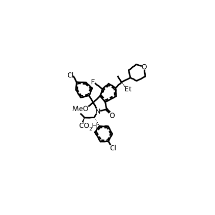 CC[C@@](C)(c1cc(F)c2c(c1)C(=O)N([C@H](c1ccc(Cl)cc1)[C@H](C)C(=O)O)C2(OC)c1ccc(Cl)cc1)C1CCOCC1